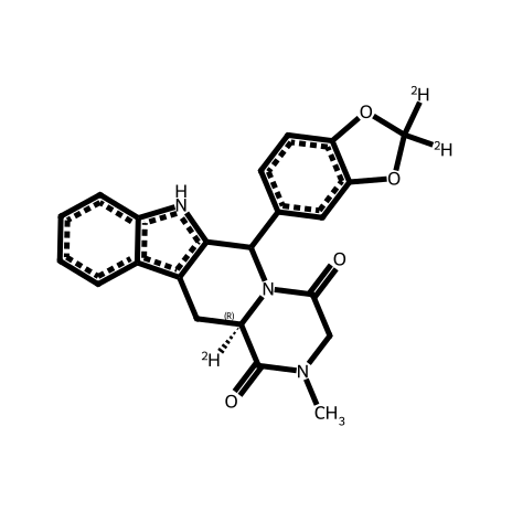 [2H]C1([2H])Oc2ccc(C3c4[nH]c5ccccc5c4C[C@]4([2H])C(=O)N(C)CC(=O)N34)cc2O1